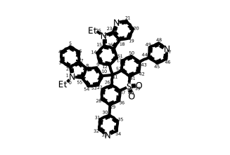 CCn1c2ccccc2c2cc(C3(c4ccc5c(c4)c4cccnc4n5CC)c4ccc(-c5ccncc5)cc4S(=O)(=O)c4cc(-c5ccncc5)ccc43)ccc21